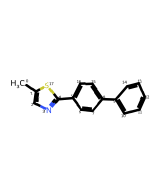 Cc1cnc(-c2ccc(-c3ccccc3)cc2)s1